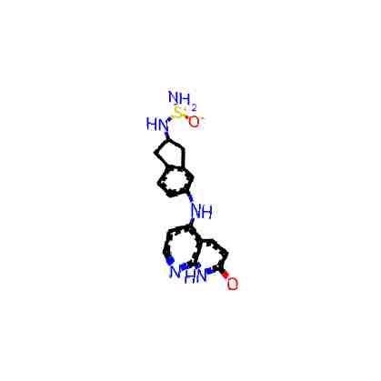 N[S+]([O-])NC1Cc2ccc(Nc3ccnc4[nH]c(=O)ccc34)cc2C1